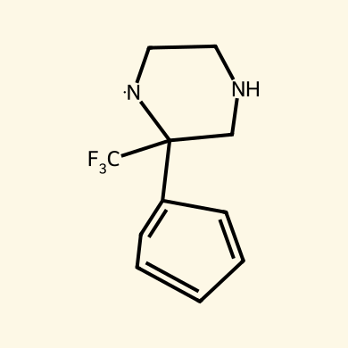 FC(F)(F)C1(c2ccccc2)CNCC[N]1